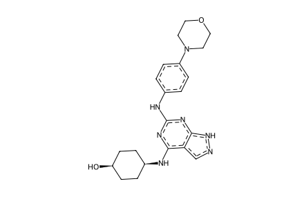 O[C@H]1CC[C@@H](Nc2nc(Nc3ccc(N4CCOCC4)cc3)nc3[nH]ncc23)CC1